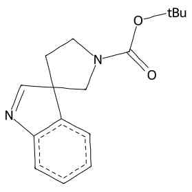 CC(C)(C)OC(=O)N1CCC2(C=Nc3ccccc32)C1